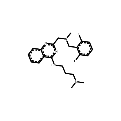 CN(C)CCCNc1nc(CN(C)Cc2c(F)cccc2F)nc2ccccc12